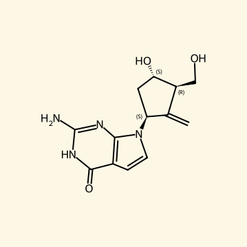 C=C1[C@H](CO)[C@@H](O)C[C@@H]1n1ccc2c(=O)[nH]c(N)nc21